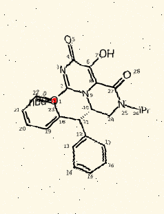 CCCCOc1nc(=O)c(O)c2n1[C@@H](C(c1ccccc1)c1ccccc1)CN(C(C)C)C2=O